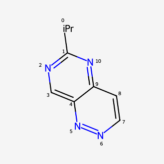 CC(C)c1ncc2nnccc2n1